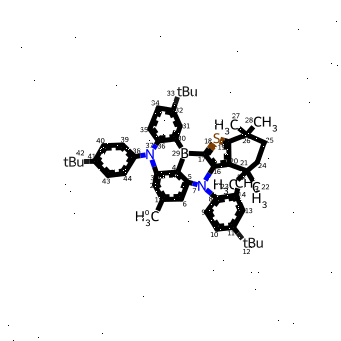 Cc1cc2c3c(c1)N(c1ccc(C(C)(C)C)cc1C)c1c(sc4c1C(C)(C)CCC4(C)C)B3c1cc(C(C)(C)C)ccc1N2c1ccc(C(C)(C)C)cc1